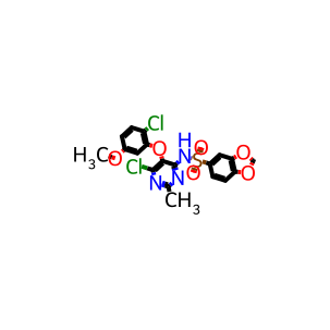 COc1ccc(Cl)c(Oc2c(Cl)nc(C)nc2NS(=O)(=O)c2ccc3c(c2)OCO3)c1